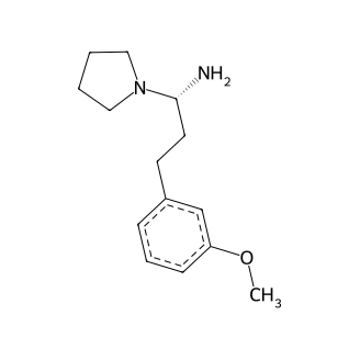 COc1cccc(CC[C@@H](N)N2CCCC2)c1